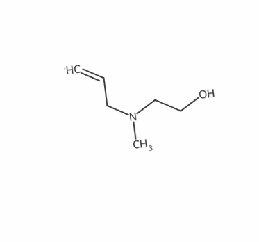 [CH]=CCN(C)CCO